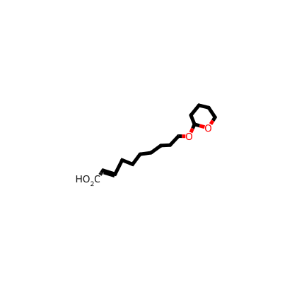 O=C(O)/C=C/CCCCCCCOC1CCCCO1